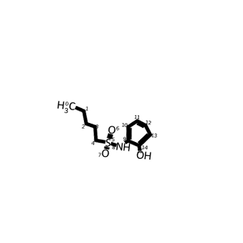 CCCCCS(=O)(=O)Nc1ccccc1O